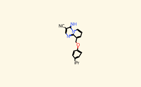 CC(C)c1ccc(OCc2cccn3c(=N)c(C#N)cnc23)cc1